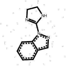 c1ccc2c(c1)cnn2C1=NCCN1